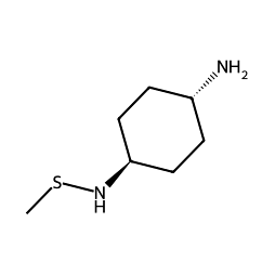 CSN[C@H]1CC[C@H](N)CC1